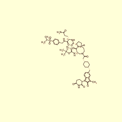 CC(C)S(=O)(=O)c1ccc(CNC(=O)[C@H](CCC(N)=O)NC(=O)[C@@H]2CC[C@@H]3CCN(C(=O)C[C@H]4CC[C@@H](Cc5ccc6c(c5)n(C)c(=O)n6C5CCC(=O)NC5=O)CC4)C[C@H](NC(=O)OC(C)(C)C)C(=O)N32)cc1